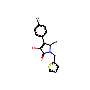 CCC1C(c2ccc(C(F)(F)F)cc2)=C(O)C(=O)N1Cc1cccs1